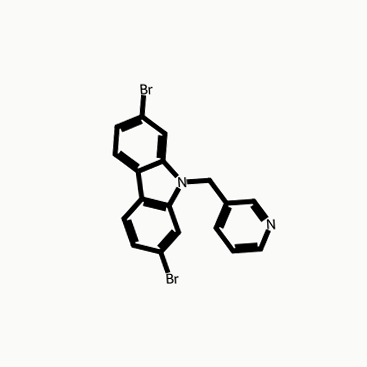 Brc1ccc2c3ccc(Br)cc3n(Cc3cccnc3)c2c1